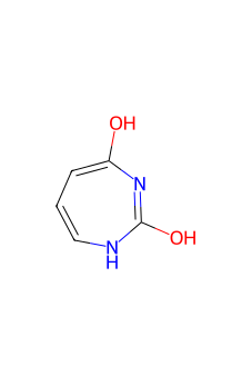 OC1=CC=CNC(O)=N1